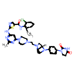 Cc1nc(Nc2ncc(C(=O)Nc3c(C)cccc3Cl)s2)cc(N2CCN(CCN3C[C@H]4C3CN4c3ccc(N4CCC(=O)NC4=O)cc3)CC2)n1